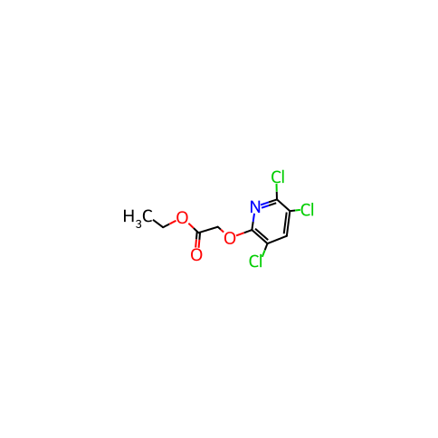 CCOC(=O)COc1nc(Cl)c(Cl)cc1Cl